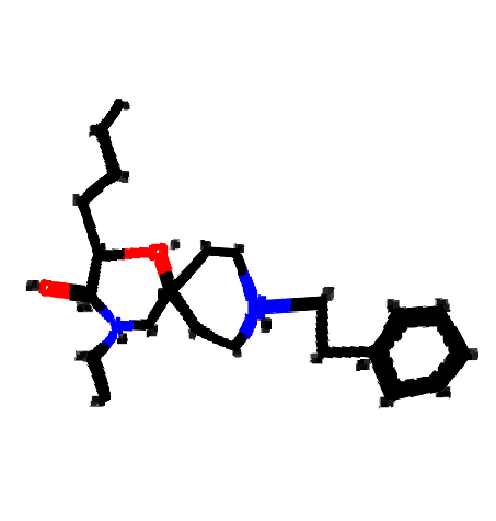 CCCCC1OC2(CCN(CCc3ccccc3)CC2)CN(CC)C1=O